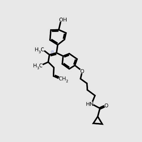 C=CCC(C)/C(C)=C(/c1ccc(O)cc1)c1ccc(OCCCCNC(=O)C2CC2)cc1